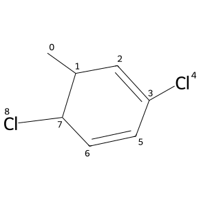 CC1C=C(Cl)C=CC1Cl